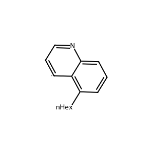 CCCCCCc1cccc2ncc[c]c12